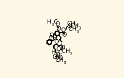 COCOc1cc(OC)cc(/C=C/C[C@@H]2OC(C)(C)OC2C(/C=C\CCOS(C)(=O)=O)OC(=O)c2ccccc2)c1C(=O)OCC[Si](C)(C)C